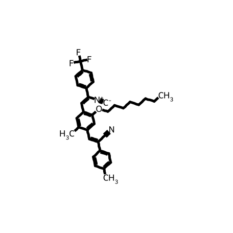 [C-]#[N+]/C(=C\c1cc(C)c(/C=C(\C#N)c2ccc(C)cc2)cc1OCCCCCCCC)c1ccc(C(F)(F)F)cc1